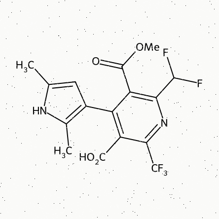 COC(=O)c1c(C(F)F)nc(C(F)(F)F)c(C(=O)O)c1-c1cc(C)[nH]c1C